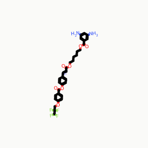 Nc1cc(N)cc(C(=O)OCCCCCCOC(=O)/C=C/c2ccc(OC(=O)c3ccc(OCC(F)(F)C(F)F)cc3)cc2)c1